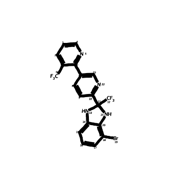 FC(F)(F)c1cccnc1-c1ccc(C2(C(F)(F)F)Nc3cccc(Br)c3N2)nc1